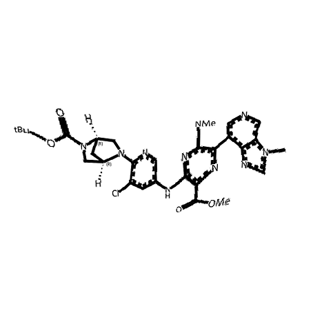 CNc1nc(Nc2cnc(N3C[C@H]4C[C@@H]3CN4C(=O)OC(C)(C)C)c(Cl)c2)c(C(=O)OC)nc1-c1cncc2c1ncn2C